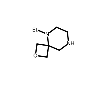 CCN1CCNCC12COC2